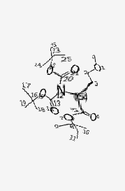 COCC[C@@H](C(=O)OC(C)(C)C)N(C(=O)OC(C)(C)C)C(=O)OC(C)(C)C